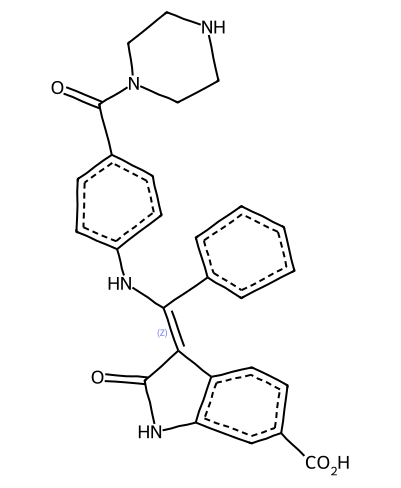 O=C1Nc2cc(C(=O)O)ccc2/C1=C(/Nc1ccc(C(=O)N2CCNCC2)cc1)c1ccccc1